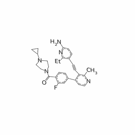 CCc1nc(N)ccc1C#Cc1c(-c2ccc(C(=O)N3CCN(C4CC4)CC3)c(F)c2)ccnc1C